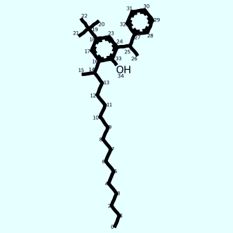 CCCCCCCCCCCCCCC(C)c1cc(C(C)(C)C)cc(C(C)c2ccccc2)c1O